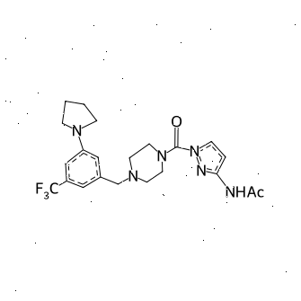 CC(=O)Nc1ccn(C(=O)N2CCN(Cc3cc(N4CCCC4)cc(C(F)(F)F)c3)CC2)n1